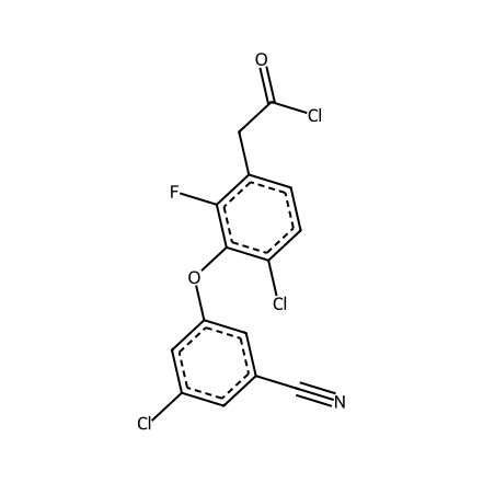 N#Cc1cc(Cl)cc(Oc2c(Cl)ccc(CC(=O)Cl)c2F)c1